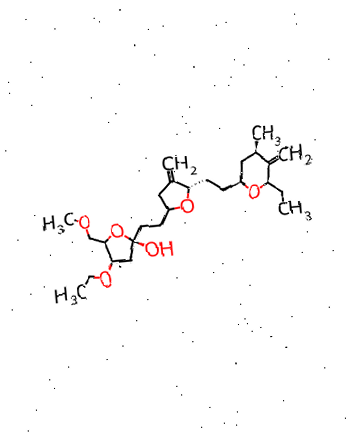 C=C1C(CC)O[C@@H](CC[C@@H]2OC(CC[C@]3(O)C[C@@H](OCC)C(COC)O3)CC2=C)C[C@H]1C